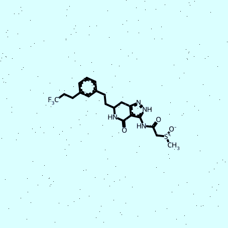 C[S+]([O-])CC(=O)Nc1[nH]nc2c1C(=O)NC(CCc1cccc(CCC(F)(F)F)c1)C2